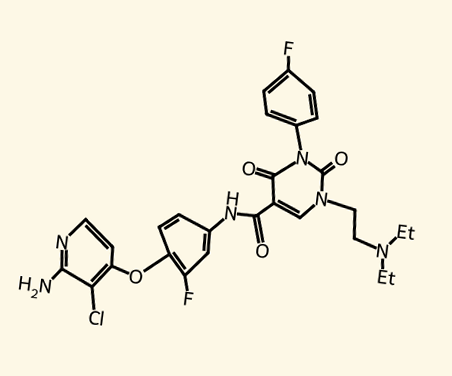 CCN(CC)CCn1cc(C(=O)Nc2ccc(Oc3ccnc(N)c3Cl)c(F)c2)c(=O)n(-c2ccc(F)cc2)c1=O